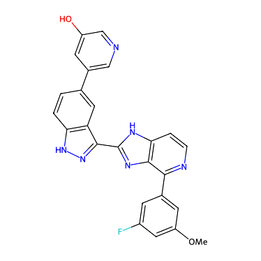 COc1cc(F)cc(-c2nccc3[nH]c(-c4n[nH]c5ccc(-c6cncc(O)c6)cc45)nc23)c1